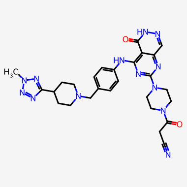 Cn1nnc(C2CCN(Cc3ccc(Nc4nc(N5CCN(C(=O)CC#N)CC5)nc5cn[nH]c(=O)c45)cc3)CC2)n1